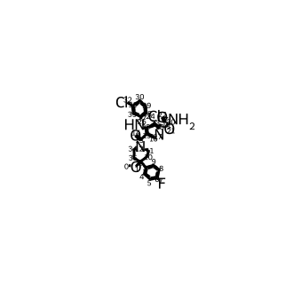 COC1(c2ccc(F)cc2)CCN(C(=O)c2cnc(S(N)(=O)=O)c(Cl)c2Nc2cccc(Cl)c2)CC1